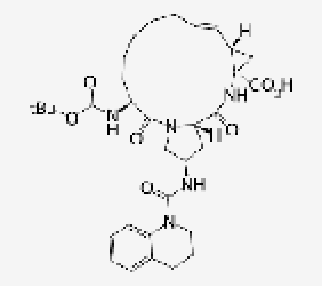 CC(C)(C)OC(=O)N[C@H]1CCCCC/C=C/[C@@H]2C[C@@]2(C(=O)O)NC(=O)[C@@H]2C[C@@H](NC(=O)N3CCCc4ccccc43)CN2C1=O